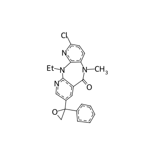 CCN1c2ncc(C3(c4ccccc4)CO3)cc2C(=O)N(C)c2ccc(Cl)nc21